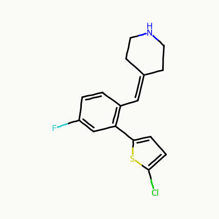 Fc1ccc(C=C2CCNCC2)c(-c2ccc(Cl)s2)c1